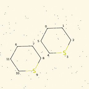 C1CCSCC1.C1CCSCC1